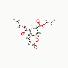 CCCOC(=O)c1cc(C(=O)OCCC)c2ccc(=O)oc2c1